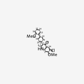 COc1cc2[nH]c(C)c(-c3ccc(-c4ccccc4OC)cc3)c(=O)c2cc1Cl